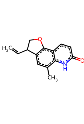 C=CC1COc2c1cc(C)c1[nH]c(=O)ccc21